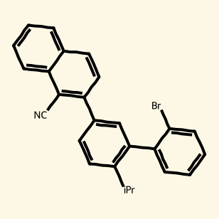 CC(C)c1ccc(-c2ccc3ccccc3c2C#N)cc1-c1ccccc1Br